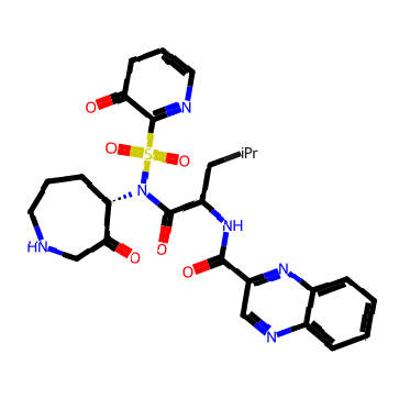 CC(C)CC(NC(=O)c1cnc2ccccc2n1)C(=O)N([C@H]1CCCNCC1=O)S(=O)(=O)C1=NC=CCC1=O